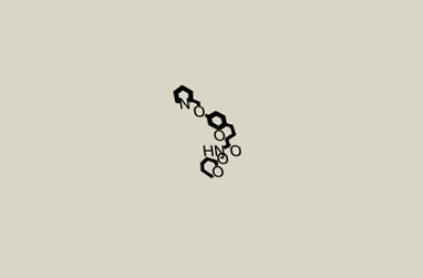 O=C(NOC1CCCCO1)C1CCc2ccc(OCc3ccccn3)cc2O1